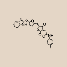 Cc1ccc(NC(=O)CN2C(=O)SC(=Cc3ccc(Sc4nc5ccccc5[nH]4)o3)C2=O)cc1